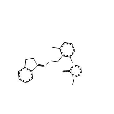 Cn1nnn(-c2cccc(Cl)c2CON=C2CCc3ccccc32)c1=O